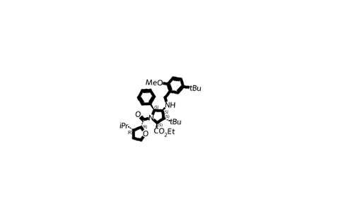 CCOC(=O)[C@@H]1[C@@H](C(C)(C)C)[C@H](NCc2cc(C(C)(C)C)ccc2OC)[C@H](c2ccccc2)N1C(=O)[C@@H]1OCC[C@@H]1C(C)C